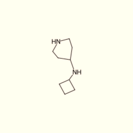 C1CC(NC2CCNCC2)C1